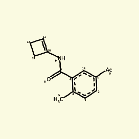 CC(=O)c1ccc(C)c(C(=O)NC2=CCC2)c1